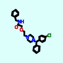 O=C(COCCN1CCN([C@H](c2ccccc2)c2ccc(Cl)cc2)CC1)NCc1ccccc1